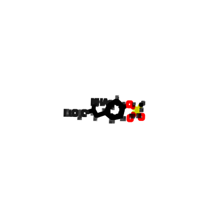 CCOC(=O)C(Cc1ccc(OS(C)(=O)=O)cc1)NC(C)=O